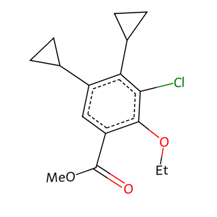 CCOc1c(C(=O)OC)cc(C2CC2)c(C2CC2)c1Cl